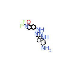 N[C@H]1CC[C@@H](Nc2nc(Nc3ccc4c(=O)n(C(F)F)ccc4c3)ncc2C(F)(F)F)CC1